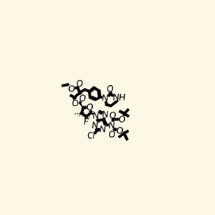 CCOC(=O)C(Cc1ccc(N2CCCNC2=O)cc1)(OC[C@H]1O[C@@H](n2cnc3c(N(C(=O)OC(C)(C)C)C(=O)OC(C)(C)C)nc(Cl)nc32)[C@@H](F)[C@@H]1C)C(C)=O